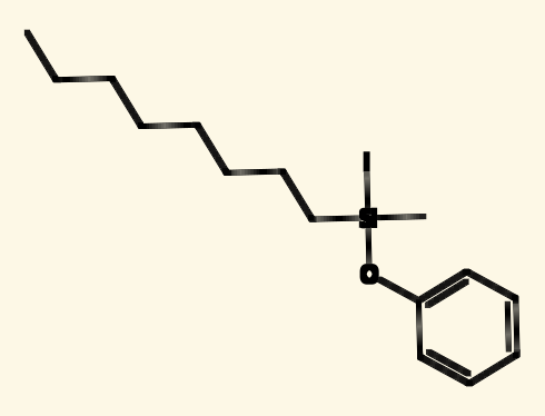 CCCCCCCC[Si](C)(I)Oc1ccccc1